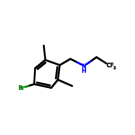 Cc1cc(Br)cc(C)c1CNCC(F)(F)F